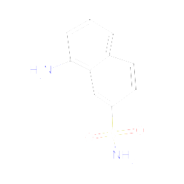 Cc1cc2cccc(N)c2cc1S(N)(=O)=O